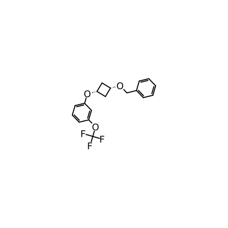 FC(F)(F)Oc1cccc(O[C@H]2C[C@@H](OCc3ccccc3)C2)c1